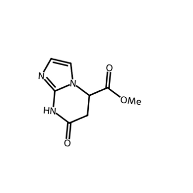 COC(=O)C1CC(=O)Nc2nccn21